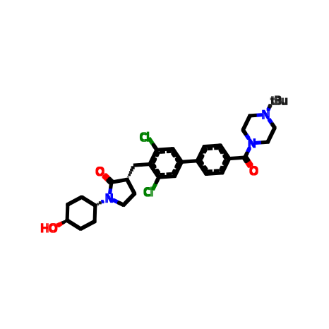 CC(C)(C)N1CCN(C(=O)c2ccc(-c3cc(Cl)c(C[C@@H]4CCN([C@H]5CC[C@H](O)CC5)C4=O)c(Cl)c3)cc2)CC1